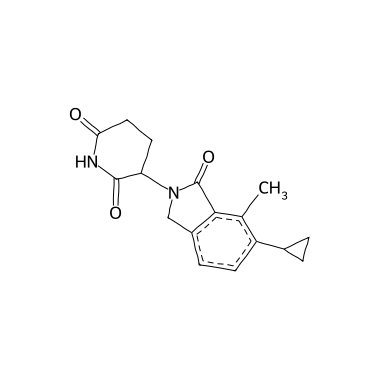 Cc1c(C2CC2)ccc2c1C(=O)N(C1CCC(=O)NC1=O)C2